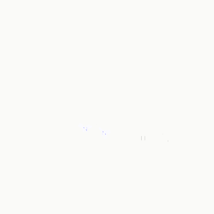 CC1(C)c2ccccc2-c2cc3c4c(c5c(cc4c21)c1ccccc1n5-c1cc(-c2ccc4ccccc4c2)cc(-c2ccc4ccccc4c2)n1)C=CC3